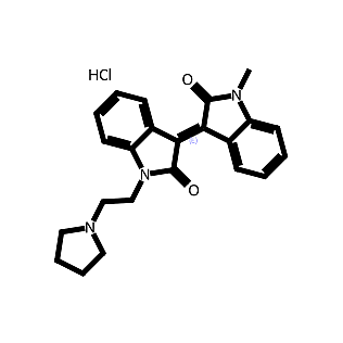 CN1C(=O)/C(=C2/C(=O)N(CCN3CCCC3)c3ccccc32)c2ccccc21.Cl